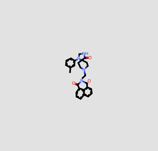 Cc1cccc(N2CNC(=O)C23CCN(CCN2C(=O)c4cccc5cccc(c45)C2=O)CC3)c1